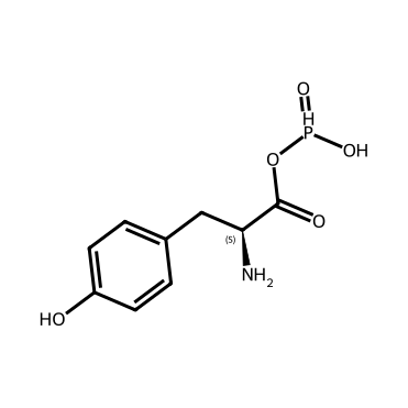 N[C@@H](Cc1ccc(O)cc1)C(=O)O[PH](=O)O